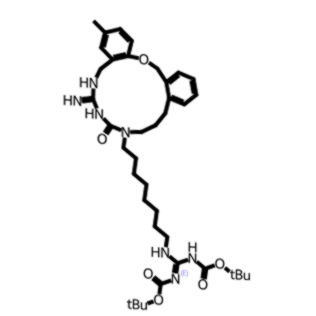 Cc1ccc2c(c1)CNC(=N)NC(=O)N(CCCCCCCCN/C(=N\C(=O)OC(C)(C)C)NC(=O)OC(C)(C)C)CCCc1ccccc1CO2